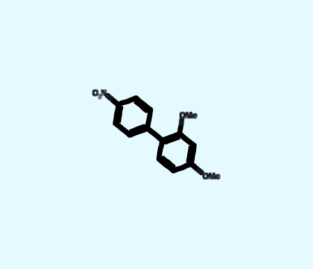 COc1ccc(-c2ccc([N+](=O)[O-])cc2)c(OC)c1